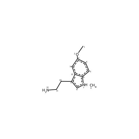 C.COc1ccc2[nH]cc(CCN)c2c1